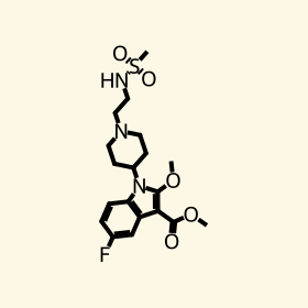 COC(=O)c1c(OC)n(C2CCN(CCNS(C)(=O)=O)CC2)c2ccc(F)cc12